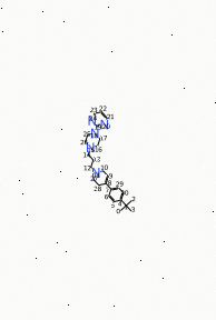 CC(C)(C)c1ccc(C2=CCN(CCCN3CCN(c4ncccn4)CC3)CC2)cc1